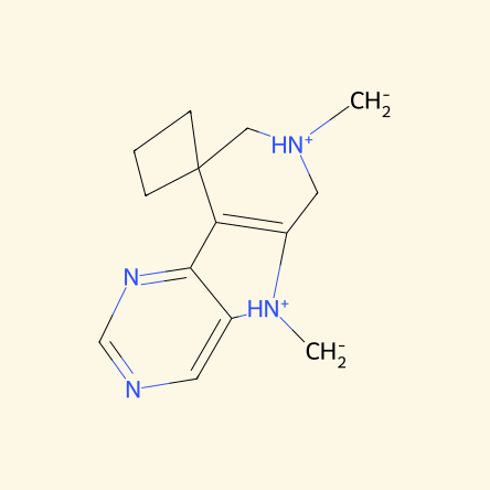 [CH2-][NH+]1CC2=C(c3ncncc3[NH+]2[CH2-])C2(CCC2)C1